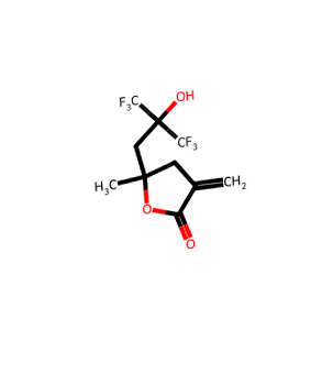 C=C1CC(C)(CC(O)(C(F)(F)F)C(F)(F)F)OC1=O